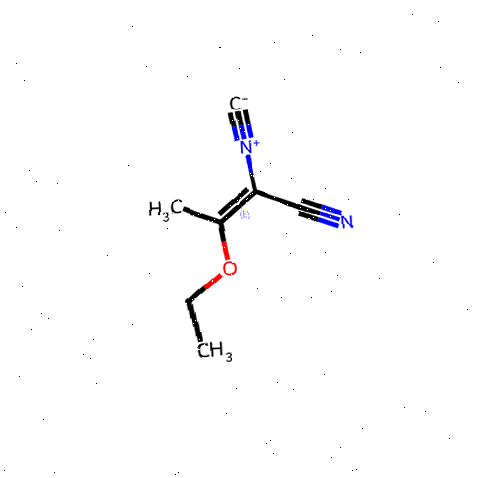 [C-]#[N+]/C(C#N)=C(\C)OCC